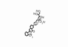 O=C(O)[N+]([O-])(CC1CN(c2ccc3cc(-c4ccccc4C(F)(F)F)[nH]c(=O)c3c2)CO1)C[C@@H](O)[C@@H](O)CO